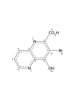 O=C(O)c1nc2cccnc2c(O)c1Br